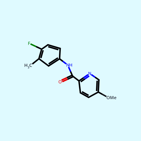 COc1ccc(C(=O)Nc2ccc(F)c(C)c2)nc1